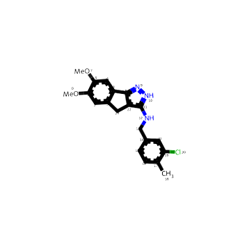 COc1cc2c(cc1OC)-c1n[nH]c(NCc3ccc(C)c(Cl)c3)c1C2